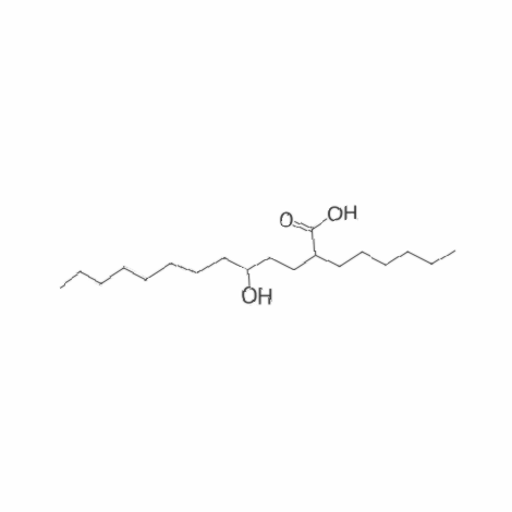 CCCCCCCCC(O)CCC(CCCCCC)C(=O)O